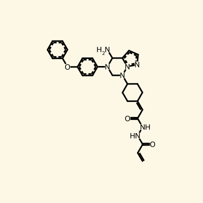 C=CC(=O)NNC(=O)C=C1CCC(N2CN(c3ccc(Oc4ccccc4)cc3)C(N)c3ccnn32)CC1